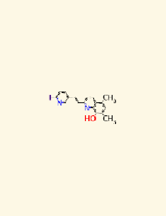 Cc1cc(C)c2ccc(/C=C/c3ccc(I)nc3)nc2c1O